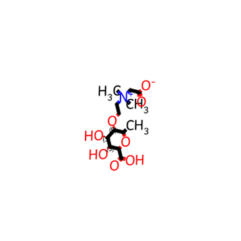 CC1OC(C(=O)O)[C@@H](O)[C@H](O)[C@H]1OCC[N+](C)(C)CC(=O)[O-]